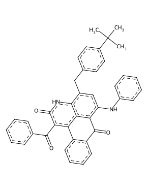 CC(C)(C)c1ccc(Cc2cc(Nc3ccccc3)c3c4c(c(C(=O)c5ccccc5)c(=O)[nH]c24)-c2ccccc2C3=O)cc1